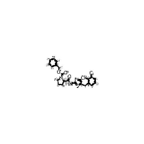 O=C(Nc1ncc(Cc2cccc(Cl)c2Cl)s1)C1CCCN1C(=O)OCc1ccccc1